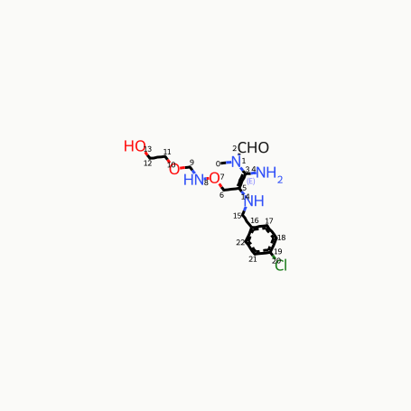 CN(C=O)/C(N)=C(\CONCOCCO)NCc1ccc(Cl)cc1